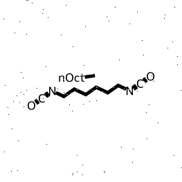 CCCCCCCCC.O=C=NCCCCCCN=C=O